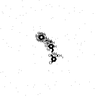 [2H]c1c([2H])c(S(=O)(=O)NC(=O)NC2([2H])C([2H])([2H])C([2H])([2H])C([2H])([2H])C([2H])([2H])C2([2H])[2H])c([2H])c([2H])c1CCNC(=O)c1cc(Cl)ccc1OC